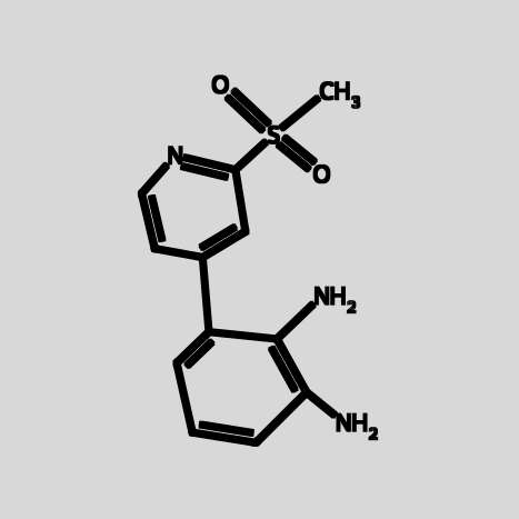 CS(=O)(=O)c1cc(-c2cccc(N)c2N)ccn1